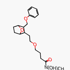 CN(O)C(=O)CCCOCCC1C2CCC(O2)C1COc1ccccc1